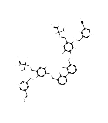 C/N=C/c1cncc(COc2cc(OCc3cccc(-c4cccc(COc5cc(OCc6cncc(C#N)c6)c(CNC(C)(CO)C(=O)O)cc5Cl)c4Cl)c3Cl)c(Cl)cc2CNC(C)(CO)C(=O)O)c1